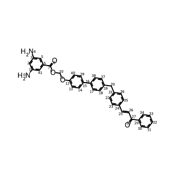 Nc1cc(N)cc(C(=O)OCOc2ccc(-c3ccc(Cc4ccc(/C=C/C(=O)c5ccccc5)cc4)cc3)cc2)c1